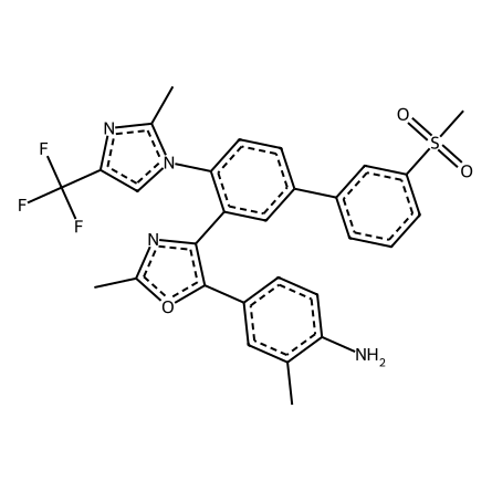 Cc1nc(-c2cc(-c3cccc(S(C)(=O)=O)c3)ccc2-n2cc(C(F)(F)F)nc2C)c(-c2ccc(N)c(C)c2)o1